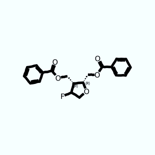 O=C(OC[C@@H]1OCC(F)[C@@H]1COC(=O)c1ccccc1)c1ccccc1